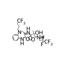 CC(O)(C(=O)NCC(F)(F)C(F)(F)F)C(=O)N[C@H]1CN(CCCC(F)(F)F)c2ccccc2NC1=O